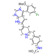 COc1ccc(F)cc1-c1ncnc2[nH]c(C3=CCNC(Cc4ccc(NC(=O)O)cc4)C3)cc12